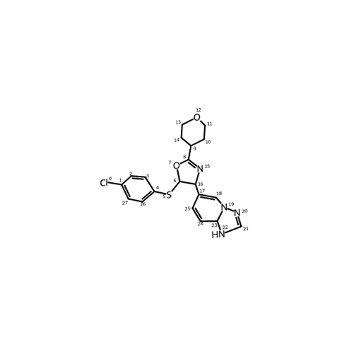 Clc1ccc(SC2OC(C3CCOCC3)=NC2C2=CN3N=CNC3C=C2)cc1